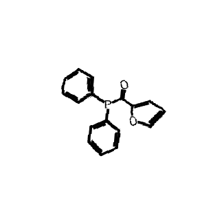 O=C(c1ccco1)P(c1ccccc1)c1ccccc1